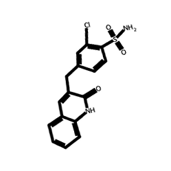 NS(=O)(=O)c1ccc(Cc2cc3ccccc3[nH]c2=O)cc1Cl